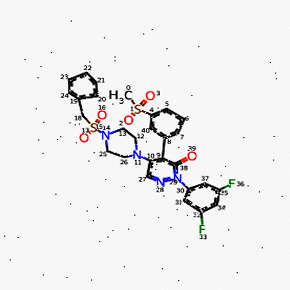 CS(=O)(=O)c1cccc(-c2c(N3CCN(S(=O)(=O)Cc4ccccc4)CC3)cnn(-c3cc(F)cc(F)c3)c2=O)c1